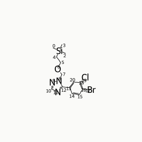 C[Si](C)(C)CCOCn1ncnc1-c1ccc(Br)c(Cl)c1